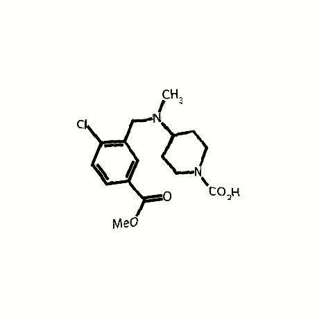 COC(=O)c1ccc(Cl)c(CN(C)C2CCN(C(=O)O)CC2)c1